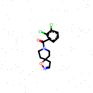 O=C(c1cccc(Cl)c1Cl)N1CCC2(CC=NO2)CC1